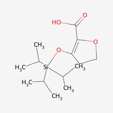 CC(C)[Si](OC1=C(C(=O)O)OCC1)(C(C)C)C(C)C